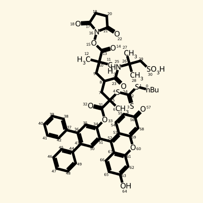 CCCCSC(=S)SC(C)(CC(CC(C)(C)C(=O)ON1C(=O)CCC1=O)C(=O)NC(C)(C)CS(=O)(=O)O)C(=O)Oc1cc(-c2ccccc2)c(-c2ccccc2)cc1-c1c2ccc(=O)cc-2oc2cc(O)ccc12